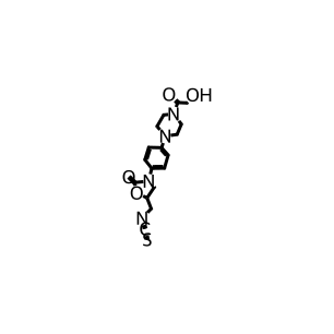 O=C(CO)N1CCN(c2ccc(N3CC(CN=C=S)OC3=O)cc2)CC1